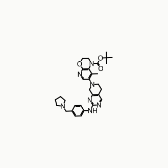 Cc1c(N2CCc3cnc(Nc4ccc(CN5CCCC5)cc4)nc3C2)cnc2c1N(C(=O)OC(C)(C)C)CCO2